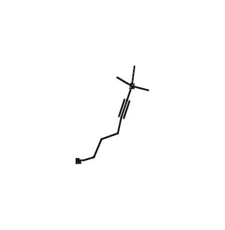 C[Si](C)(C)C#CCCCBr